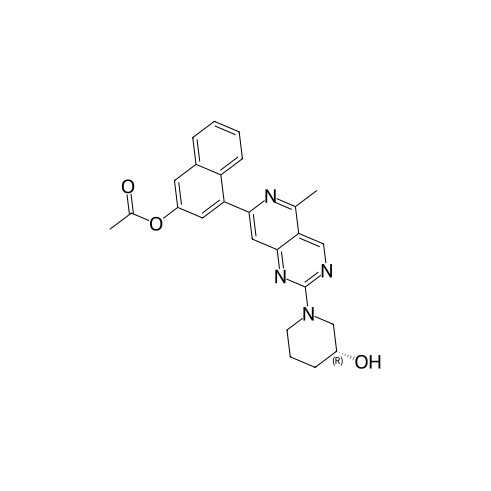 CC(=O)Oc1cc(-c2cc3nc(N4CCC[C@@H](O)C4)ncc3c(C)n2)c2ccccc2c1